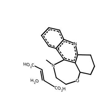 CN1CCOC2CCCc3nc4ccccc4c1c32.O.O=C(O)C=CC(=O)O